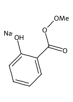 COOC(=O)c1ccccc1O.[Na]